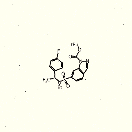 CCN([C@H](c1ccc(F)cc1)C(F)(F)F)S(=O)(=O)c1ccc2cnn(C(=O)OC(C)(C)C)c2c1